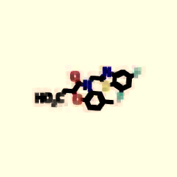 Cc1ccc2c(c1)N(Cc1nc3cc(F)cc(F)c3s1)C(=O)C(CC(=O)O)O2